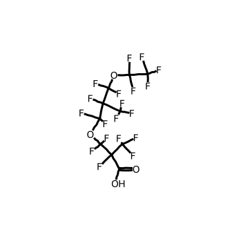 O=C(O)C(F)(C(F)(F)F)C(F)(F)OC(F)(F)C(F)(C(F)(F)F)C(F)(F)OC(F)(F)C(F)(F)F